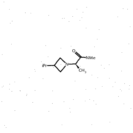 CNC(=O)[C@@H](C)N1CC(C(C)C)C1